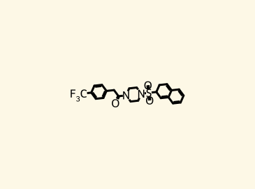 O=C(Cc1ccc(C(F)(F)F)cc1)N1CCN(S(=O)(=O)C2C=c3ccccc3=CC2)CC1